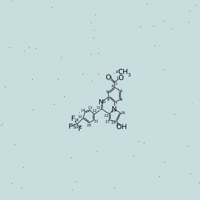 COC(=O)c1ccc2c(c1)nc(-c1ccc(C(F)(F)F)cc1)c1cc(O)cn12